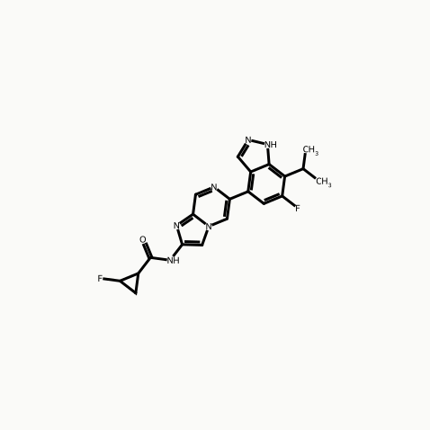 CC(C)c1c(F)cc(-c2cn3cc(NC(=O)C4CC4F)nc3cn2)c2cn[nH]c12